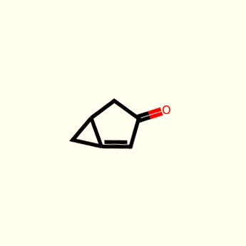 O=C1C=C2CC2C1